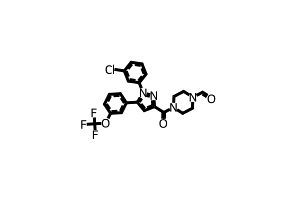 O=CN1CCN(C(=O)c2cc(-c3cccc(OC(F)(F)F)c3)n(-c3cccc(Cl)c3)n2)CC1